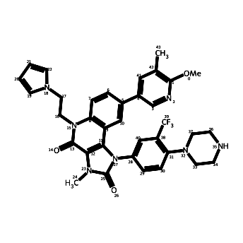 COc1ncc(-c2ccc3c(c2)c2c(c(=O)n3CCn3cccc3)n(C)c(=O)n2-c2ccc(N3CCNCC3)c(C(F)(F)F)c2)cc1C